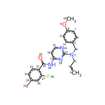 C=CCN(Cc1ccc(OC)cc1)c1nccc(NC(=O)c2ccc(I)cc2F)n1